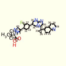 CC(C)(C)C(C(=O)O)n1cc(-c2ccc(-c3cnc4ncc(C5(c6ccc7ncccc7c6)CC5)n4c3)cc2F)cn1